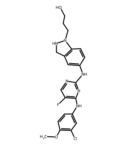 COc1ccc(Nc2nc(Nc3ccc4c(c3)CNN4CCCO)ncc2F)cc1Cl